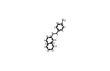 Fc1ccc([CH]Cc2ccc3ccccc3c2)cc1